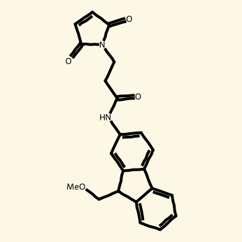 COCC1c2ccccc2-c2ccc(NC(=O)CCN3C(=O)C=CC3=O)cc21